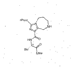 CCCCCc1nc(C(=O)N[C@H](C(=O)NC)C(C)(C)C)c2n1CCCNC2